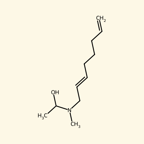 C=CCCCC=CCN(C)C(C)O